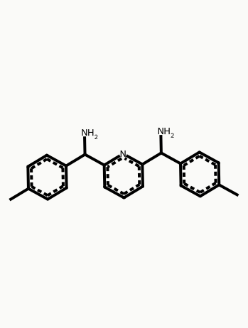 Cc1ccc(C(N)c2cccc(C(N)c3ccc(C)cc3)n2)cc1